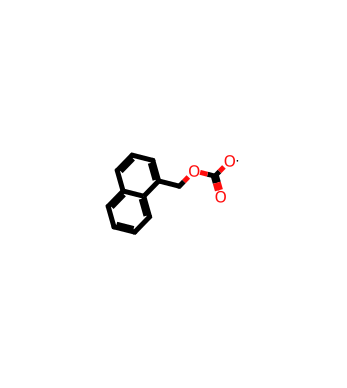 [O]C(=O)OCc1cccc2ccccc12